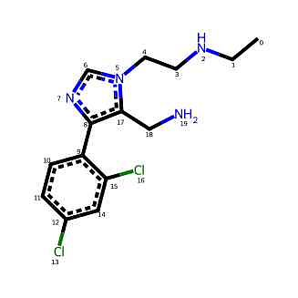 CCNCCn1cnc(-c2ccc(Cl)cc2Cl)c1CN